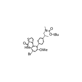 COc1cc(Br)c2[nH]c(=O)c3sccc3c2c1-c1ccc(C(C)CN(C)C(=O)OC(C)(C)C)cc1